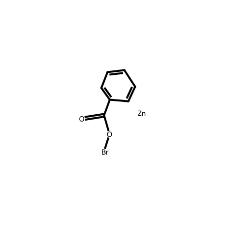 O=C(OBr)c1ccccc1.[Zn]